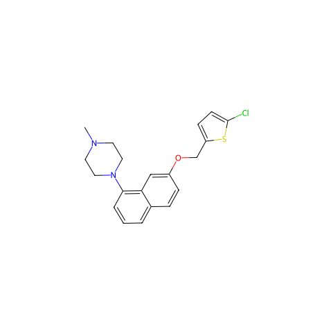 CN1CCN(c2cccc3ccc(OCc4ccc(Cl)s4)cc23)CC1